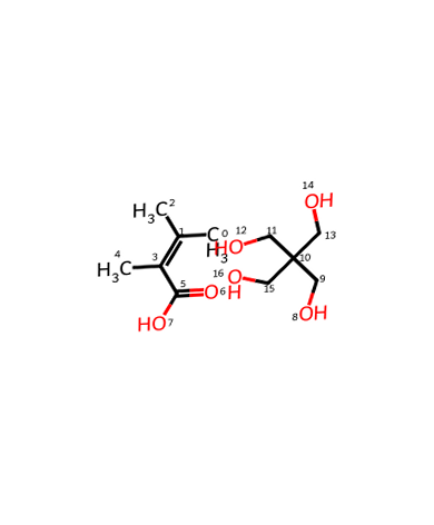 CC(C)=C(C)C(=O)O.OCC(CO)(CO)CO